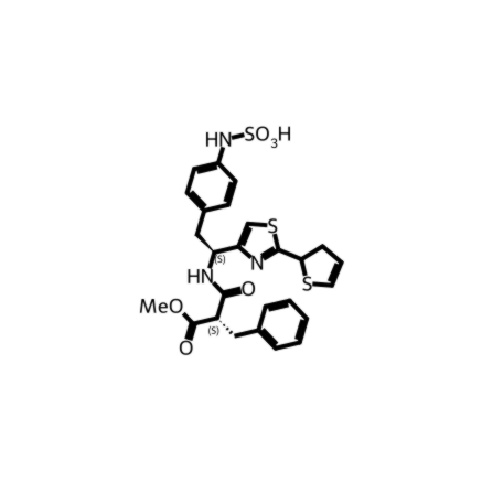 COC(=O)[C@@H](Cc1ccccc1)C(=O)N[C@@H](Cc1ccc(NS(=O)(=O)O)cc1)c1csc(C2CC=CS2)n1